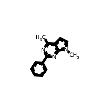 Cc1nc(-c2ccccc2)nc2c1ccn2C